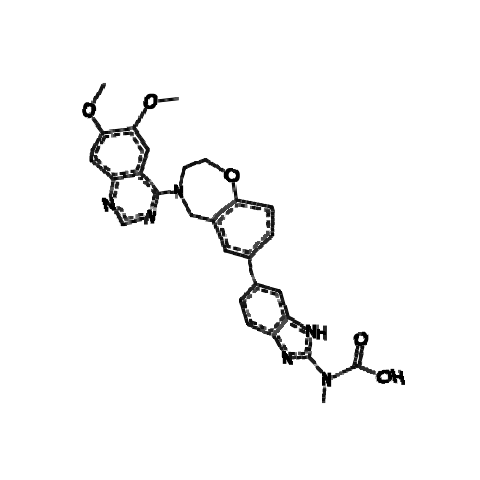 COc1cc2ncnc(N3CCOc4ccc(-c5ccc6nc(N(C)C(=O)O)[nH]c6c5)cc4C3)c2cc1OC